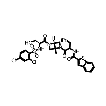 CC(C)CC(NC(=O)c1cc2ccccc2s1)C(=O)N1C[C@H]2N(C(=O)[C@H](CO)NS(=O)(=O)c3ccc(Cl)cc3Cl)CC21C